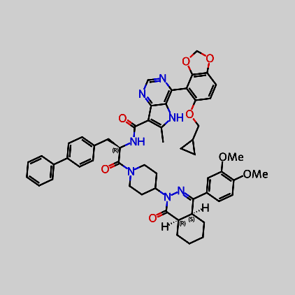 COc1ccc(C2=NN(C3CCN(C(=O)[C@@H](Cc4ccc(-c5ccccc5)cc4)NC(=O)c4c(C)[nH]c5c(-c6c(OCC7CC7)ccc7c6OCO7)ncnc45)CC3)C(=O)[C@@H]3CCCC[C@H]23)cc1OC